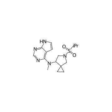 CC(C)S(=O)(=O)N1CC(N(C)c2ncnc3[nH]ccc23)C2(CC2)C1